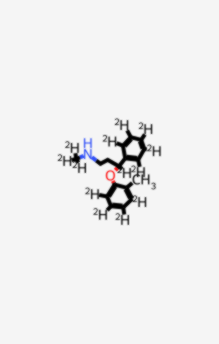 [2H]c1c([2H])c([2H])c(C([2H])(CCNC([2H])([2H])[2H])Oc2c([2H])c([2H])c([2H])c([2H])c2C)c([2H])c1[2H]